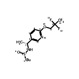 C[C@@H](N[S@+]([O-])C(C)(C)C)c1ccc(OCC(F)(F)C(F)(F)F)nc1